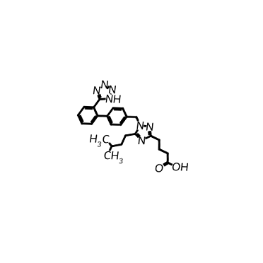 CC(C)CCc1nc(CCCC(=O)O)nn1Cc1ccc(-c2ccccc2-c2nnn[nH]2)cc1